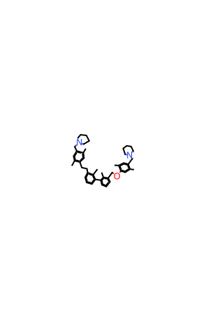 Cc1cc(CN2CCCCC2)c(C)cc1CCc1cccc(-c2cccc(COc3cc(C)c(CN4CCCCC4)cc3C)c2C)c1C